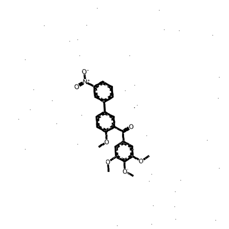 COc1ccc(-c2cccc([N+](=O)[O-])c2)cc1C(=O)c1cc(OC)c(OC)c(OC)c1